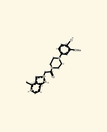 COc1cc(N2CCN(C(=O)Cn3cc4c(C)nccc4n3)CC2)ccc1Cl